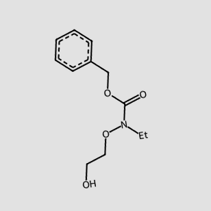 CCN(OCCO)C(=O)OCc1ccccc1